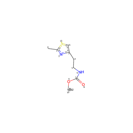 Cc1nc(CCNC(=O)OC(C)(C)C)cs1